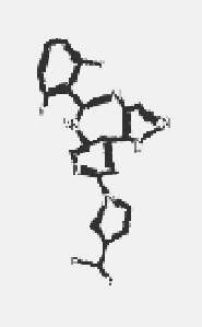 Fc1cccc(F)c1C1=Nc2cn[nH]c2-c2cc(N3CCC(C(F)F)C3)ncc2N1